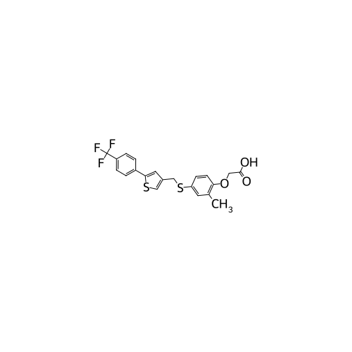 Cc1cc(SCc2csc(-c3ccc(C(F)(F)F)cc3)c2)ccc1OCC(=O)O